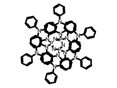 c1ccc(N2c3ccccc3N(P3(N4c5ccccc5N(c5ccccc5)c5ccccc54)=NP(N4c5ccccc5N(c5ccccc5)c5ccccc54)(N4c5ccccc5N(c5ccccc5)c5ccccc54)=NP(N4c5ccccc5N(c5ccccc5)c5ccccc54)(N4c5ccccc5N(c5ccccc5)c5ccccc54)=N3)c3ccccc32)cc1